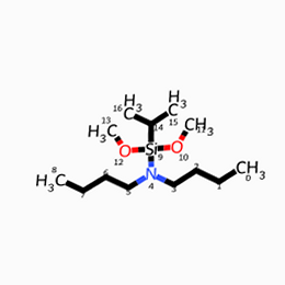 CCCCN(CCCC)[Si](OC)(OC)C(C)C